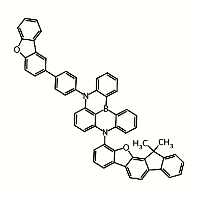 CC1(C)c2ccccc2-c2ccc3c(oc4c(N5c6ccccc6B6c7ccccc7N(c7ccc(-c8ccc9oc%10ccccc%10c9c8)cc7)c7cccc5c76)cccc43)c21